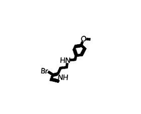 COc1ccc(CNCCc2[nH]ccc2Br)cc1